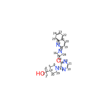 CC(C)(O)C1CCN(c2nccnc2OC2CN(c3ccc4ccccc4n3)C2)CC1